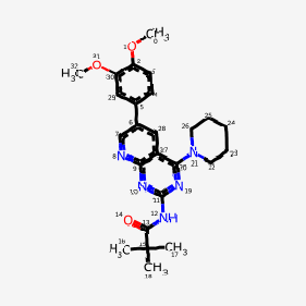 COc1ccc(-c2cnc3nc(NC(=O)C(C)(C)C)nc(N4CCCCC4)c3c2)cc1OC